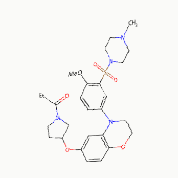 CCC(=O)N1CCC(Oc2ccc3c(c2)N(c2ccc(OC)c(S(=O)(=O)N4CCN(C)CC4)c2)CCO3)C1